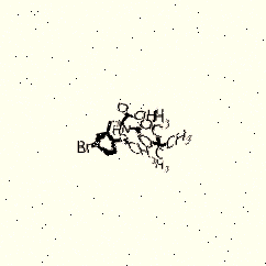 COc1ccc(Br)cc1C[C@@H](NC(=O)OC(C)(C)C)C(=O)O